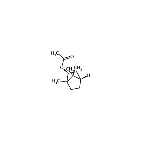 CC(=O)O[C@H]1C[C@@H]2CCC1(C)C2(C)C